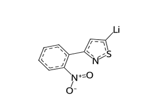 [Li][c]1cc(-c2ccccc2[N+](=O)[O-])ns1